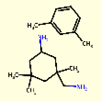 CC1(C)CC(N)CC(C)(CN)C1.Cc1cccc(C)c1